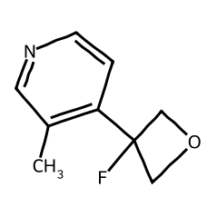 Cc1cnccc1C1(F)COC1